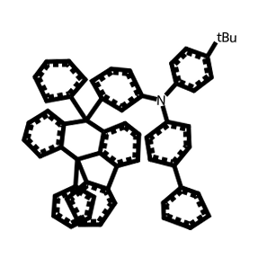 CC(C)(C)c1ccc(N(c2ccc(-c3ccccc3)cc2)c2cccc(C3(c4ccccc4)c4ccccc4C4(c5ccccc5)c5ccccc5-c5cccc3c54)c2)cc1